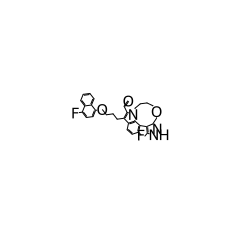 Cc1[nH]nc2c1-c1c(F)ccc3c(CCCOc4ccc(F)c5ccccc45)c(C=O)n(c13)CCCCOC2